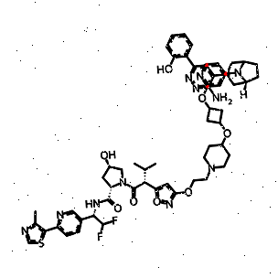 Cc1ncsc1-c1ccc([C@H](NC(=O)[C@@H]2C[C@@H](O)CN2C(=O)[C@@H](c2cc(OCCN3CCC(OC4CC(Oc5cc(N6C7CC[C@@H]6CN(c6cc(-c8ccccc8O)nnc6N)C7)ccn5)C4)CC3)no2)C(C)C)C(F)F)cn1